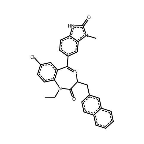 CCN1C(=O)C(Cc2ccc3ccccc3c2)N=C(c2ccc3[nH]c(=O)n(C)c3c2)c2cc(Cl)ccc21